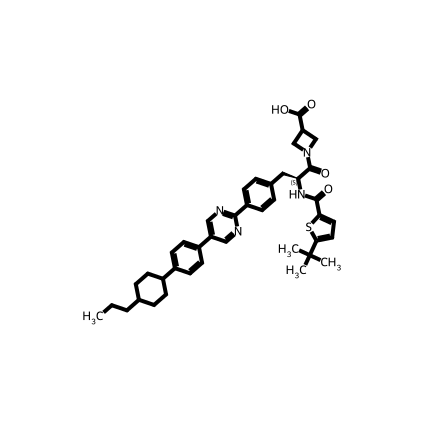 CCCC1CCC(c2ccc(-c3cnc(-c4ccc(C[C@H](NC(=O)c5ccc(C(C)(C)C)s5)C(=O)N5CC(C(=O)O)C5)cc4)nc3)cc2)CC1